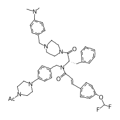 CC(=O)N1CCN(c2ccc(CN(C(=O)/C=C/c3ccc(OC(F)F)cc3)[C@@H](Cc3ccccc3)C(=O)N3CCN(Cc4ccc(N(C)C)cc4)CC3)cc2)CC1